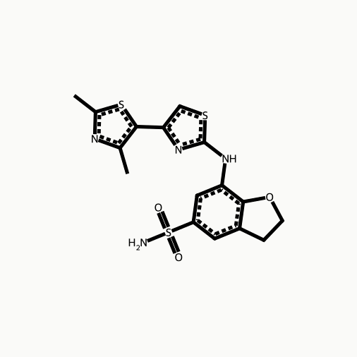 Cc1nc(C)c(-c2csc(Nc3cc(S(N)(=O)=O)cc4c3OCC4)n2)s1